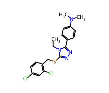 CCn1c(SCc2ccc(Cl)cc2Cl)nnc1-c1ccc(N(C)C)cc1